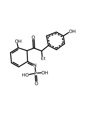 CCC(C(=O)C1C(O)=CC=CC1=NP(=O)(O)O)c1ccc(O)cc1